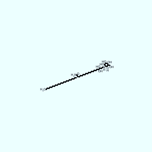 CCCCCCCCCCCCCCCCCCCCCCCC[C@@H](CCCCCCCCCCCCCCC(O)C(O)CCNC1C(O)C(O)C(O)C(CO)C1O)C(N)=O